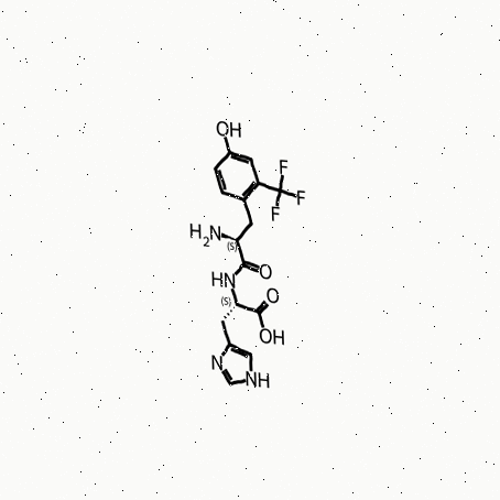 N[C@@H](Cc1ccc(O)cc1C(F)(F)F)C(=O)N[C@@H](Cc1c[nH]cn1)C(=O)O